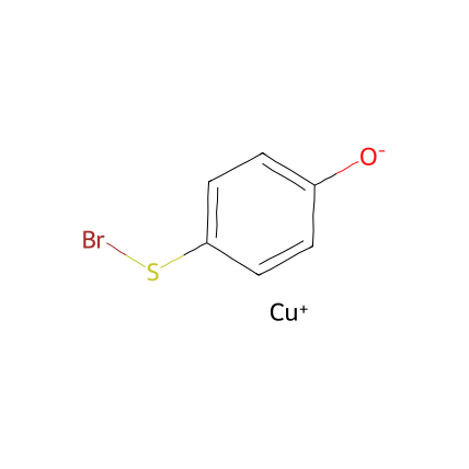 [Cu+].[O-]c1ccc(SBr)cc1